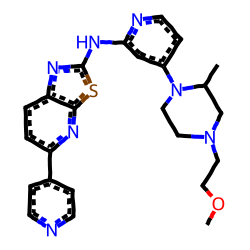 COCCN1CCN(c2ccnc(Nc3nc4ccc(-c5ccncc5)nc4s3)c2)C(C)C1